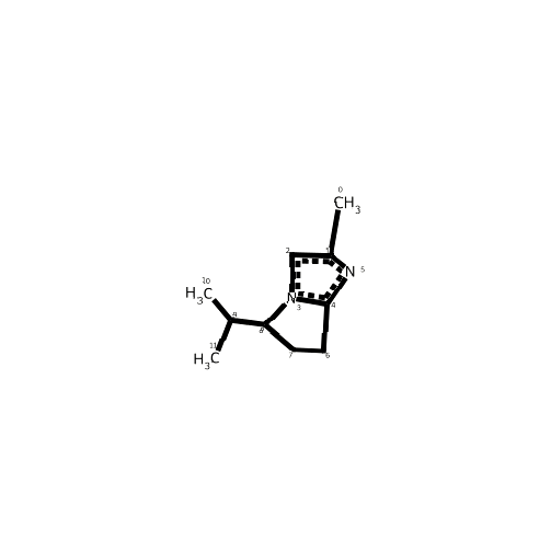 Cc1cn2c(n1)CCC2C(C)C